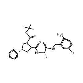 C[C@H](NC(=O)[C@H]1C[C@H](c2ccccc2)CN1C(=O)OC(C)(C)C)C(=O)NCc1cc(Cl)ccc1N